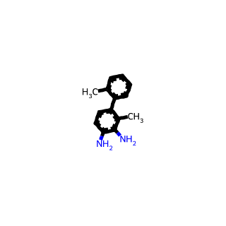 Cc1ccccc1-c1ccc(N)c(N)c1C